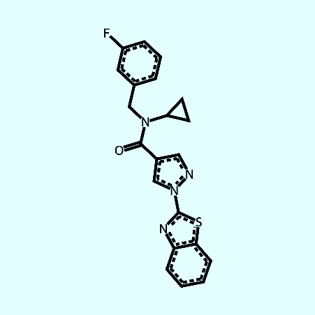 O=C(c1cnn(-c2nc3ccccc3s2)c1)N(Cc1cccc(F)c1)C1CC1